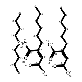 CCCCCC/C(=C/C(=O)[O-])C(=O)[O-].CCCCCC/C(=C/C(=O)[O-])C(=O)[O-].CCC[CH2][Sn+4][CH2]CCC